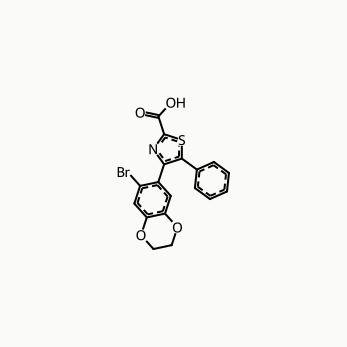 O=C(O)c1nc(-c2cc3c(cc2Br)OCCO3)c(-c2ccccc2)s1